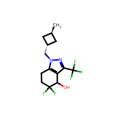 C[C@H]1C[C@H](Cn2nc(C(F)(F)F)c3c2CCC(F)(F)C3O)C1